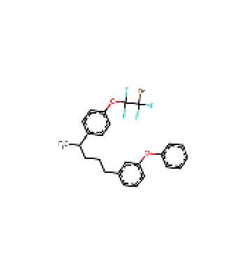 FC(F)(F)C(CCCc1cccc(Oc2ccccc2)c1)c1ccc(OC(F)(F)C(F)(F)Br)cc1